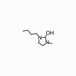 CCCCN1CCN(C)C1O